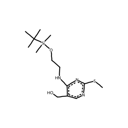 CSc1ncc(CO)c(NCCO[Si](C)(C)C(C)(C)C)n1